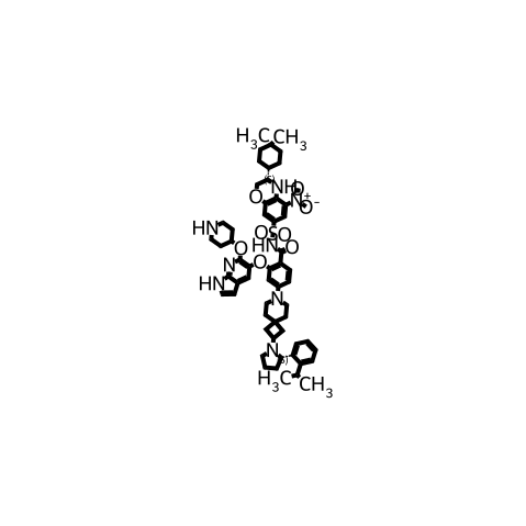 CC(C)c1ccccc1[C@@H]1CCCN1C1CC2(CCN(c3ccc(C(=O)NS(=O)(=O)c4cc5c(c([N+](=O)[O-])c4)N[C@@H](C4CCC(C)(C)CC4)CO5)c(Oc4cc5cc[nH]c5nc4OC4CCNCC4)c3)CC2)C1